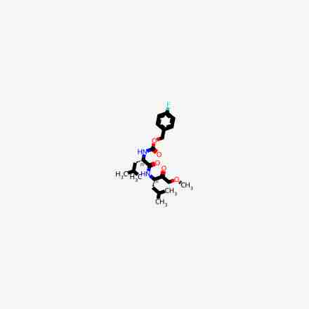 COCC(=O)[C@H](CC(C)C)NC(=O)[C@H](CC(C)C)NC(=O)OCc1ccc(F)cc1